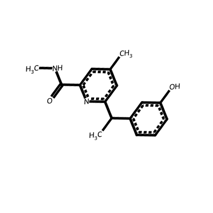 CNC(=O)c1cc(C)cc(C(C)c2cccc(O)c2)n1